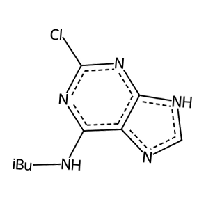 CCC(C)Nc1nc(Cl)nc2[nH]cnc12